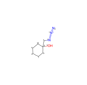 [N-]=[N+]=NCC1(O)CCCCC1